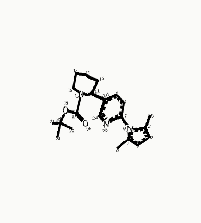 Cc1ccc(C)n1-c1ccc(C2CCCCN2C(=O)OC(C)(C)C)cn1